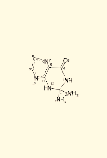 NC1(N)NC(=O)c2nccnc2N1